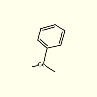 [CH3][Ge]([CH3])[c]1ccccc1